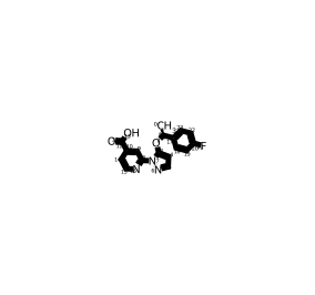 C[C@H](Oc1ccnn1-c1cc(C(=O)O)ccn1)c1ccc(F)cc1